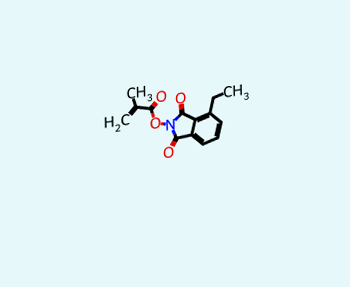 C=C(C)C(=O)ON1C(=O)c2cccc(CC)c2C1=O